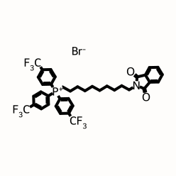 O=C1c2ccccc2C(=O)N1CCCCCCCCCC[P+](c1ccc(C(F)(F)F)cc1)(c1ccc(C(F)(F)F)cc1)c1ccc(C(F)(F)F)cc1.[Br-]